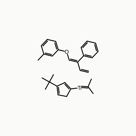 C=CC(=COc1cccc(C)c1)c1ccccc1.C[C](C)=[Ti][C]1=CC(C(C)(C)C)=CC1